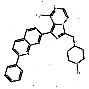 CCN1CCC(Cc2nc(-c3ccc4ccc(-c5ccccc5)nc4c3)c3c(N)nccn23)CC1